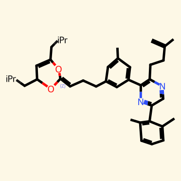 C=C(C)CCc1ncc(-c2c(C)cccc2C)nc1-c1cc(C)cc(CC/C=C2\OC(CC(C)C)=CC(CC(C)C)O2)c1